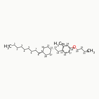 CCCCCCCCC[C@H]1CC[C@H](CCc2ccc(OCCCC)cc2C)CC1